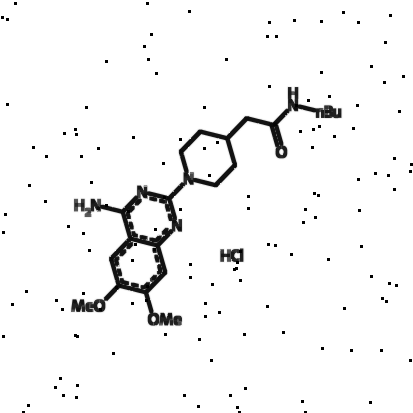 CCCCNC(=O)CC1CCN(c2nc(N)c3cc(OC)c(OC)cc3n2)CC1.Cl